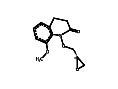 COc1cccc2c1N(OC[C@@H]1CO1)C(=O)CC2